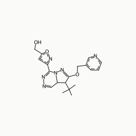 CC(C)(C)C1C(OCc2cccnc2)=NN2C(c3cc(CO)on3)=NN=CC12